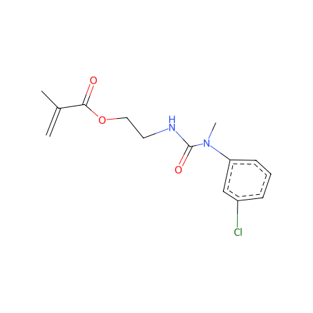 C=C(C)C(=O)OCCNC(=O)N(C)c1cccc(Cl)c1